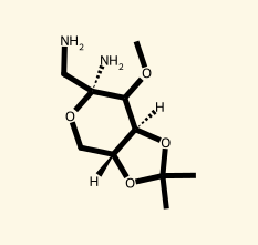 COC1[C@H]2OC(C)(C)O[C@@H]2CO[C@@]1(N)CN